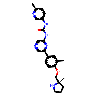 Cc1ccc(NC(=O)Nc2cncc(-c3ccc(OC[C@@]4(C)CCCN4)c(C)c3)n2)cn1